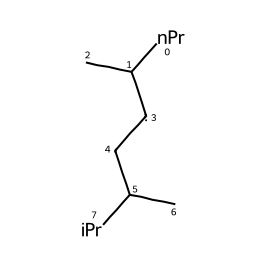 CCCC(C)[CH]CC(C)C(C)C